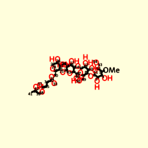 CO[C@H]1[C@H](O)[C@@H](O)[C@@H](O[C@H]2[C@H](O)[C@@H](O)[C@@H](O[C@H]3[C@H](O)[C@@H](O)[C@@H](O[C@H]4[C@H](O)[C@@H](O)CO[C@@H]4COC(=O)CCC(=O)OCC(C)O)O[C@@H]3CO)O[C@@H]2CO)O[C@@H]1CO